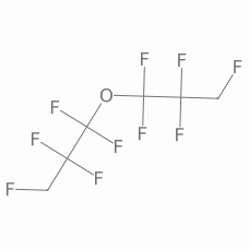 FCC(F)(F)C(F)(F)OC(F)(F)C(F)(F)CF